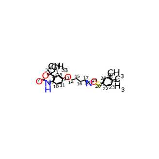 CCC1(CC)OC(=O)Nc2ccc(OCCCC=NOSc3ccc(C)c(C)c3)cc21